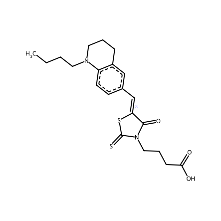 CCCCN1CCCc2cc(/C=C3\SC(=S)N(CCCC(=O)O)C3=O)ccc21